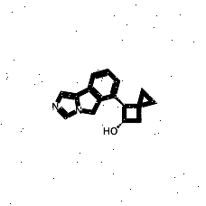 O[C@H]1CC2(CC2)[C@@H]1c1cccc2c1Cn1cncc1-2